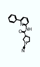 N#CN1CC[C@H](C(=O)Nc2cccc(-c3ccccc3)n2)C1